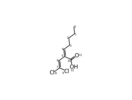 CCCCC=C(C=C(Cl)Cl)C(=O)O